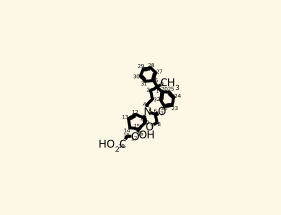 CC(CCCN1C(=O)COC2=C1C=CCC2(O)OCC(=O)O)(c1ccccc1)c1ccccc1